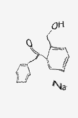 O=C(c1ccccc1)c1ccccc1CO.[Na]